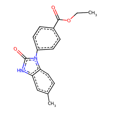 CCOC(=O)c1ccc(-n2c(=O)[nH]c3cc(C)ccc32)cc1